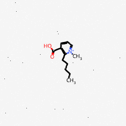 CCCCCc1c(C(=O)O)ccc[n+]1C